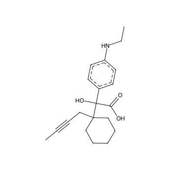 CC#CCC1(C(O)(C(=O)O)c2ccc(NCC)cc2)CCCCC1